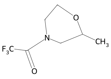 CC1CN(C(=O)C(F)(F)F)CCO1